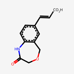 O=C(O)C=Cc1ccc2c(c1)COCC(=O)N2